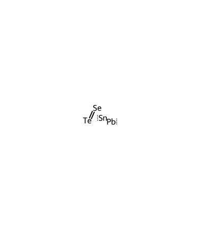 [Pb].[Se]=[Te].[Sn]